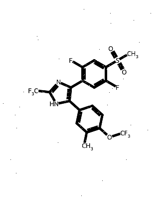 Cc1cc(-c2[nH]c(C(F)(F)F)nc2-c2cc(F)c(S(C)(=O)=O)cc2F)ccc1OC(F)(F)F